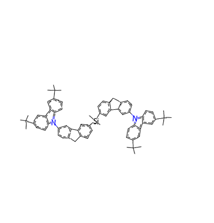 CC(C)(C)c1ccc2c(c1)c1cc(C(C)(C)C)ccc1n2-c1ccc2c(c1)-c1cc([Si](C)(C)c3ccc4c(c3)-c3cc(-n5c6ccc(C(C)(C)C)cc6c6cc(C(C)(C)C)ccc65)ccc3C4)ccc1C2